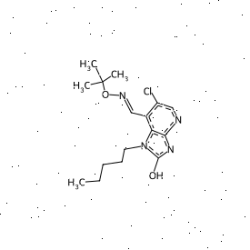 CCCCCn1c(O)nc2ncc(Cl)c(/C=N/OC(C)(C)C)c21